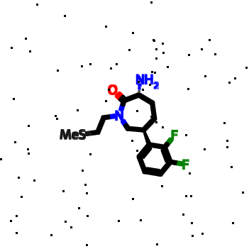 CSCCN1C[C@H](c2cccc(F)c2F)CC[C@@H](N)C1=O